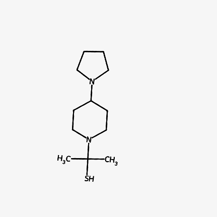 CC(C)(S)N1CCC(N2CCCC2)CC1